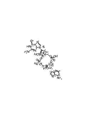 NC1=NC2C(N=CN2[C@@H]2[C@H]3CC45COP(=O)(O)O[C@H]6C[C@H](c7snc8c(N)ncnc78)O[C@@H]6COP(=O)(O)O[C@@]4([C@H]2O)[C@@H]35)C(=O)N1